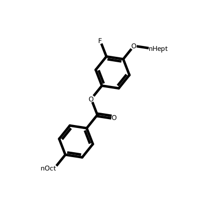 CCCCCCCCc1ccc(C(=O)Oc2ccc(OCCCCCCC)c(F)c2)cc1